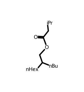 CCCCCCC(CCCC)COC(=O)CC(C)C